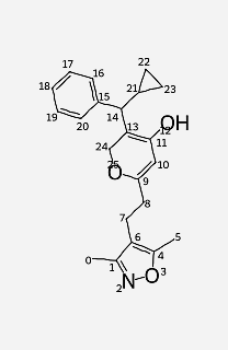 Cc1noc(C)c1CCC1=CC(O)=C(C(c2ccccc2)C2CC2)CO1